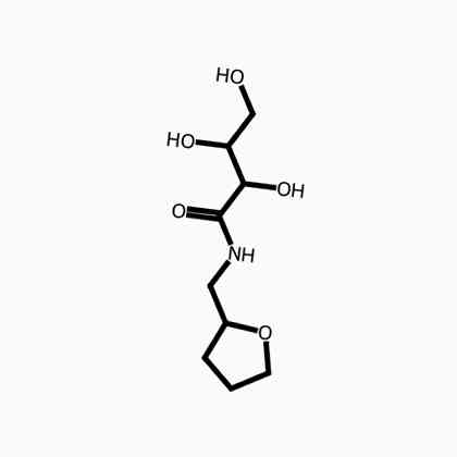 O=C(NCC1CCCO1)C(O)C(O)CO